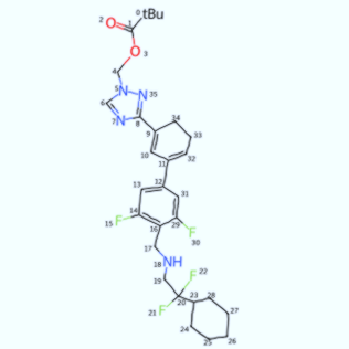 CC(C)(C)C(=O)OCn1cnc(C2=CC(c3cc(F)c(CNCC(F)(F)C4CCCCC4)c(F)c3)=CCC2)n1